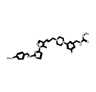 COc1ccc(CNc2nccc(-n3ncc(C=CCN4CCN(c5cc(F)cc(CNC(=O)OC(C)(C)C)c5)CC4)c3C)n2)cc1